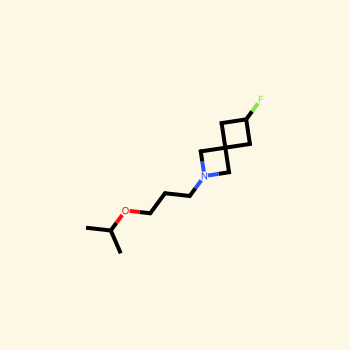 CC(C)OCCCN1CC2(CC(F)C2)C1